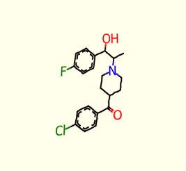 CC(C(O)c1ccc(F)cc1)N1CCC(C(=O)c2ccc(Cl)cc2)CC1